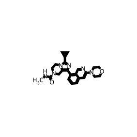 CNC(=O)N1CCn2c(C3CC3)nc(-c3cccc4cc(N5CCOCC5)ncc34)c2C1